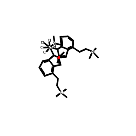 CC1=Cc2c(CC[N+](C)(C)C)cccc2[CH]1[Zr]([Cl])([Cl])([Cl])([Cl])([CH]1C(C)=Cc2c(CC[N+](C)(C)C)cccc21)[SiH](C)C